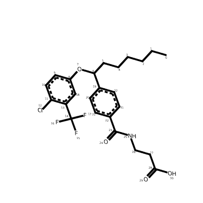 CCCCCCC(Oc1ccc(Cl)c(C(F)(F)F)c1)c1ccc(C(=O)NCCC(=O)O)cc1